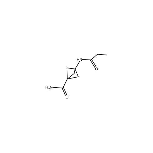 CCC(=O)NC12CC(C(N)=O)(C1)C2